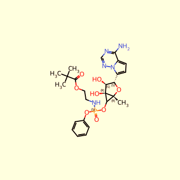 CC(C)(C)C(=O)OCCN[P@@](=O)(Oc1ccccc1)OC1[C@@]2(C)O[C@@H](c3ccc4c(N)ncnn34)[C@H](O)[C@@]12O